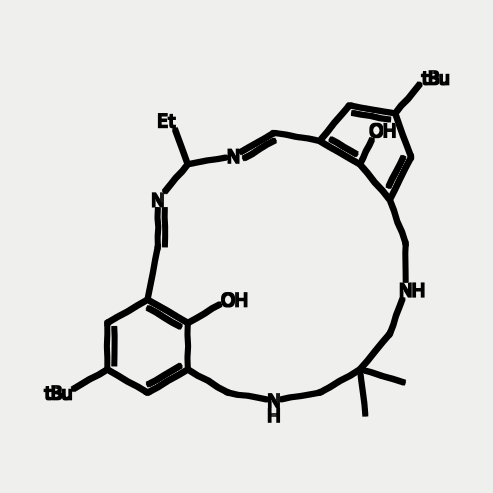 CCC1/N=C/c2cc(C(C)(C)C)cc(c2O)CNCC(C)(C)CNCc2cc(C(C)(C)C)cc(c2O)/C=N/1